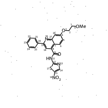 COCCOc1ccc2c(C(=O)Nc3ncc([N+](=O)[O-])s3)cc(-c3ccccc3)nc2c1